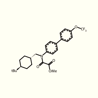 COC(=O)C(=O)N(C[C@H]1CC[C@H](C(C)(C)C)CC1)c1ccc(-c2ccc(OC(F)(F)F)cc2)cc1